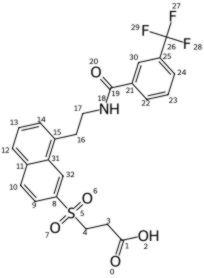 O=C(O)CCS(=O)(=O)c1ccc2cccc(CCNC(=O)c3cccc(C(F)(F)F)c3)c2c1